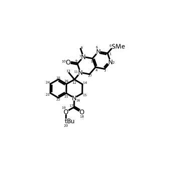 CSc1ncc2c(n1)N(C)C(=O)N(C1(C)CCN(C(=O)OC(C)(C)C)c3ccccc31)C2